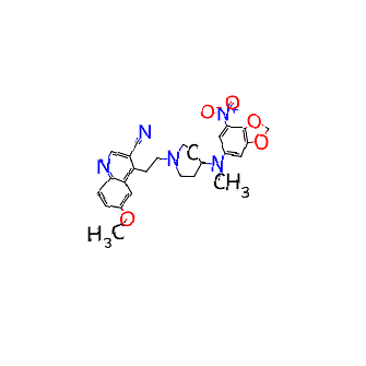 COc1ccc2ncc(C#N)c(CCN3CCC(N(C)c4cc5c(c([N+](=O)[O-])c4)OCO5)CC3)c2c1